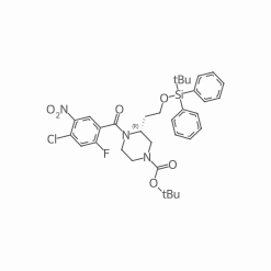 CC(C)(C)OC(=O)N1CCN(C(=O)c2cc([N+](=O)[O-])c(Cl)cc2F)[C@H](CCO[Si](c2ccccc2)(c2ccccc2)C(C)(C)C)C1